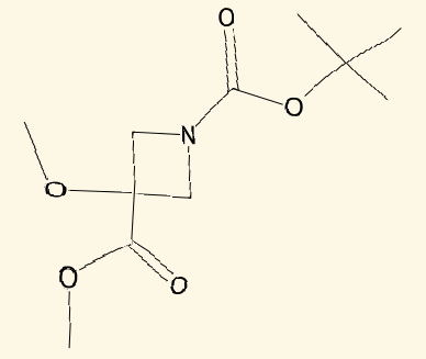 COC(=O)C1(OC)CN(C(=O)OC(C)(C)C)C1